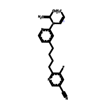 C=C(C)N(/C=C\C)c1cc(CCCCc2ncc(C#N)cc2F)ccn1